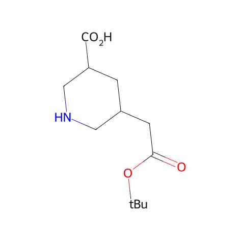 CC(C)(C)OC(=O)CC1CNCC(C(=O)O)C1